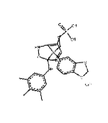 CC1=C2NOC(Nc3cc(C)c(C)c(C)c3)(N=C1)[N+]2(COP(=O)(O)O)c1ccc2c(c1)NCO2.[Ca+2]